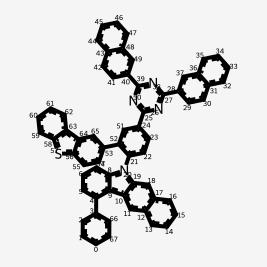 c1ccc(-c2cccc3c2c2cc4ccccc4cc2n3-c2ccc(-c3nc(-c4ccc5ccccc5c4)nc(-c4ccc5ccccc5c4)n3)cc2-c2ccc3sc4ccccc4c3c2)cc1